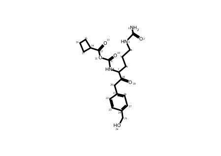 NC(=O)NCCCC(NC(=O)OC(=O)C1CCC1)C(=O)Cc1ccc(CO)cc1